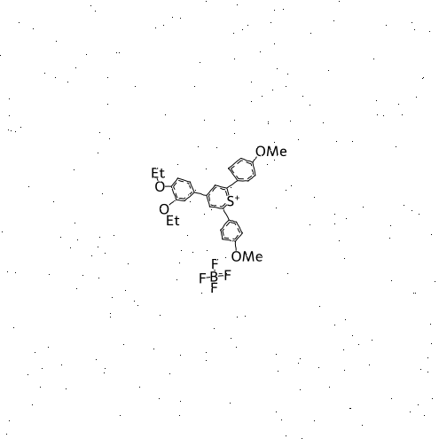 CCOc1ccc(-c2cc(-c3ccc(OC)cc3)[s+]c(-c3ccc(OC)cc3)c2)cc1OCC.F[B-](F)(F)F